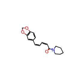 O=C(/C=C\C=C/c1ccc2c(c1)OCO2)N1CCCCC1